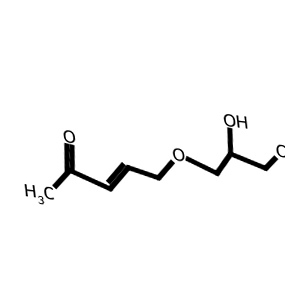 CC(=O)C=CCOCC(O)CO